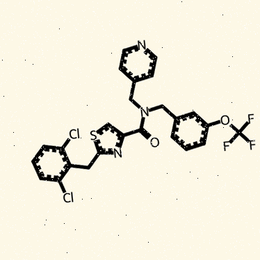 O=C(c1csc(Cc2c(Cl)cccc2Cl)n1)N(Cc1ccncc1)Cc1cccc(OC(F)(F)F)c1